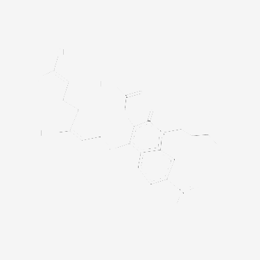 CCCCn1c(=O)c(OC(C)=O)c(OCC=C(C)CCC=C(C)C)c2ccc([N+](=O)[O-])cc21